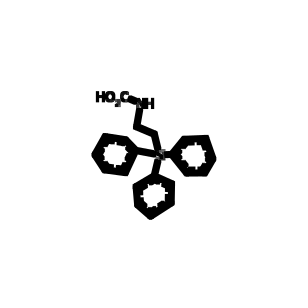 O=C(O)NCC[Si](c1ccccc1)(c1ccccc1)c1ccccc1